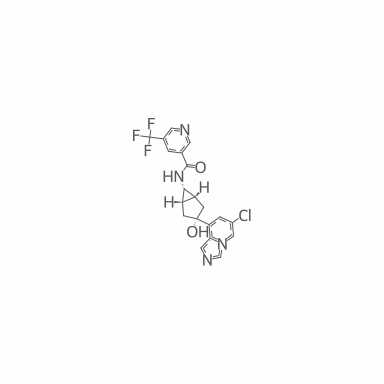 O=C(N[C@@H]1[C@@H]2C[C@@](O)(c3cc(Cl)cn4cncc34)C[C@@H]21)c1cncc(C(F)(F)F)c1